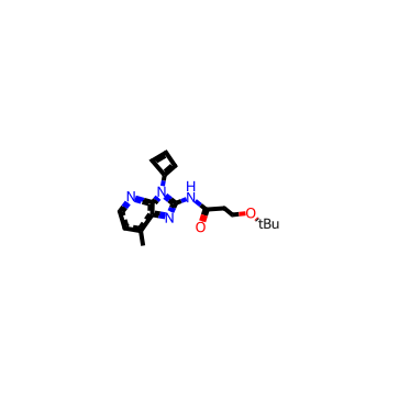 Cc1ccnc2c1nc(NC(=O)CCOC(C)(C)C)n2C1=CC=C1